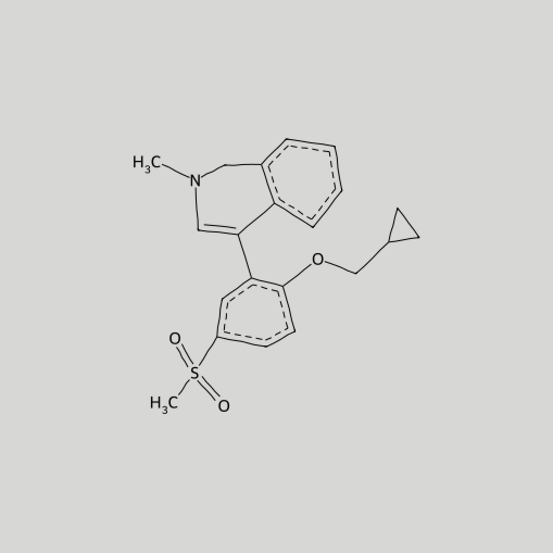 CN1C=C(c2cc(S(C)(=O)=O)ccc2OCC2CC2)c2ccccc2C1